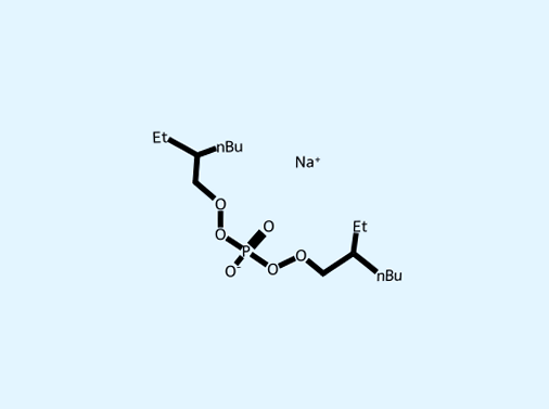 CCCCC(CC)COOP(=O)([O-])OOCC(CC)CCCC.[Na+]